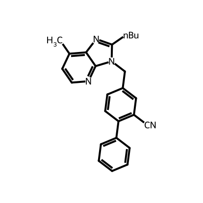 CCCCc1nc2c(C)ccnc2n1Cc1ccc(-c2ccccc2)c(C#N)c1